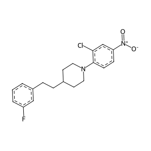 O=[N+]([O-])c1ccc(N2CCC(CCc3cccc(F)c3)CC2)c(Cl)c1